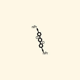 CCCC#Cc1ccc2c(c1)oc1cc3c(cc12)oc1cc(C#CCCC)ccc13